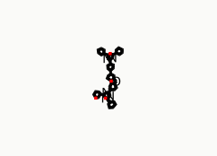 c1ccc(-c2cc(-c3ccccc3)nc(-c3ccc(-c4ccc5c(c4)oc4ccc(-c6nc(-c7ccccc7)nc(-c7ccccc7)n6)cc45)cc3)n2)cc1